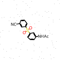 CC(=O)Nc1cccc(S(=O)(=O)c2cccc(C#N)c2)c1